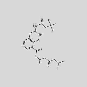 C=C(CC(C)C)CC(C)CC(=C)c1cccc2c1CBC(NC(=C)CC(C)(F)F)C2